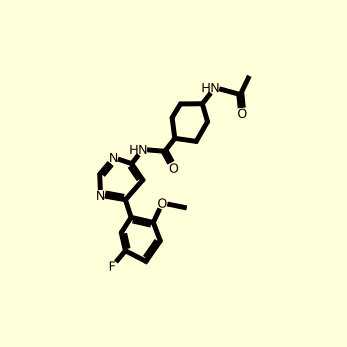 COc1ccc(F)cc1-c1cc(NC(=O)C2CCC(NC(C)=O)CC2)ncn1